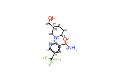 NC(=O)c1cc(C(F)(F)F)cnc1N1CCC[C@H](CO)C1